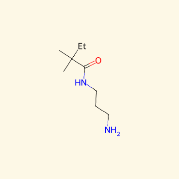 CCC(C)(C)C(=O)NCCCN